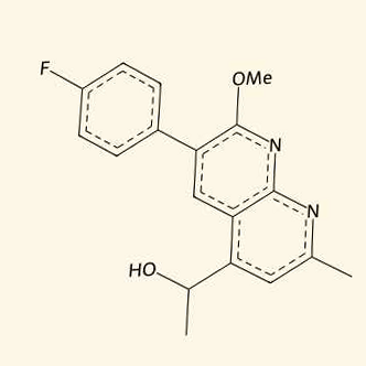 COc1nc2nc(C)cc(C(C)O)c2cc1-c1ccc(F)cc1